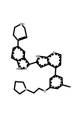 Fc1cc(OCCN2CCCC2)cc(-c2ccnc3[nH]c(-c4n[nH]c5ccc(C6=CCNCC6)cc45)cc23)c1